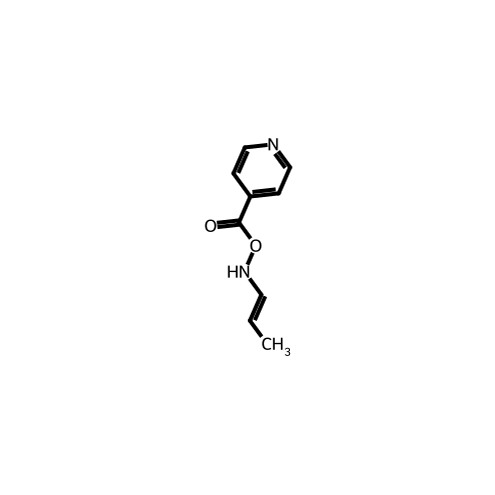 CC=CNOC(=O)c1ccncc1